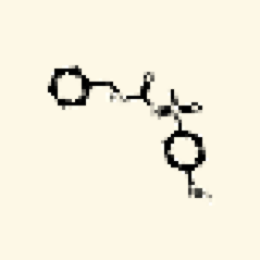 CS(=O)(=NC(=O)NCc1ccccc1)c1ccc(N)cc1